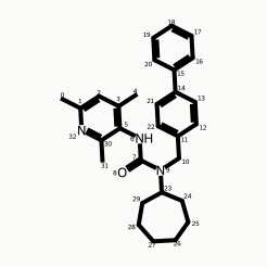 Cc1cc(C)c(NC(=O)N(Cc2ccc(-c3ccccc3)cc2)C2CCCCCC2)c(C)n1